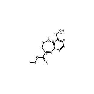 CCOC(=O)C1=Cc2cccc(CO)c2OCC1